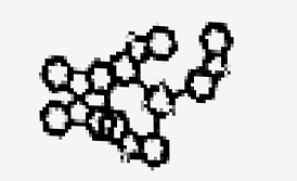 c1ccc2c(c1)-c1ccccc1C21c2ccccc2-c2cccc(-c3ccc4oc5cccc(-c6nc(-c7ccc8sc9ccccc9c8c7)nc(-c7cccc8oc9ccccc9c78)n6)c5c4c3)c21